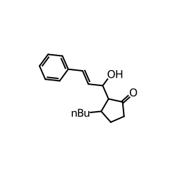 CCCCC1CCC(=O)C1C(O)C=Cc1ccccc1